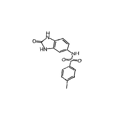 Cc1ccc(S(=O)(=O)Nc2ccc3[nH]c(=O)[nH]c3c2)cc1